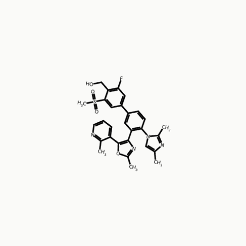 Cc1cn(-c2ccc(-c3cc(F)c(CO)c(S(C)(=O)=O)c3)cc2-c2nc(C)oc2-c2cccnc2C)c(C)n1